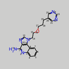 Nc1nc2ccccc2c2c1ncn2CCOCCCc1cncnc1